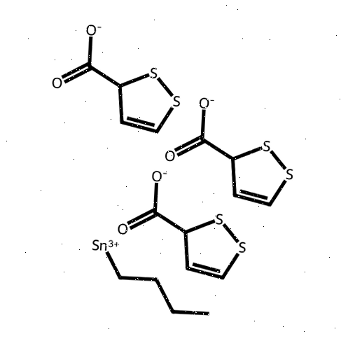 CCC[CH2][Sn+3].O=C([O-])C1C=CSS1.O=C([O-])C1C=CSS1.O=C([O-])C1C=CSS1